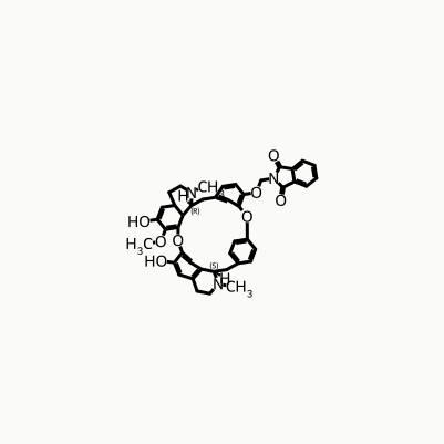 COC1=C2Oc3cc4c(cc3O)CCN(C)[C@H]4Cc3ccc(cc3)Oc3cc(ccc3OCN3C(=O)c4ccccc4C3=O)C[C@@H]3C2C(C=C1O)CCN3C